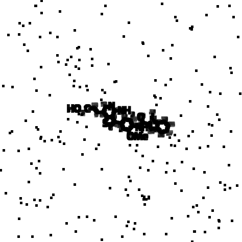 COc1cc(-c2csc3c(C=CC(=O)O)cnc(N)c23)ccc1NC(=O)c1cc2ccccc2n1C